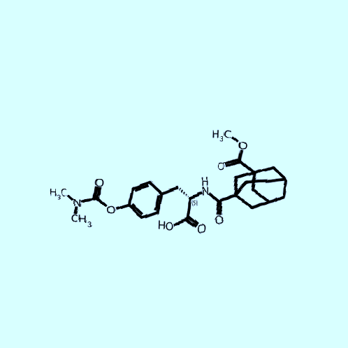 COC(=O)C12CC3CC(CC(C(=O)N[C@@H](Cc4ccc(OC(=O)N(C)C)cc4)C(=O)O)(C3)C1)C2